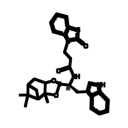 CC1(C)C2CC3OB([C@H](Cc4c[nH]c5ccccc45)NC(=O)CCn4c(=O)sc5ccccc54)OC3(C)C1C2